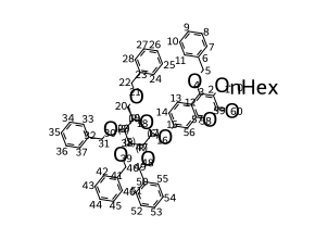 CCCCCCOc1c(OCc2ccccc2)c2ccc(O[C@@H]3O[C@H](COCc4ccccc4)[C@H](OCc4ccccc4)[C@H](OCc4ccccc4)[C@H]3OCc3ccccc3)cc2oc1=O